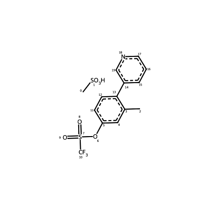 CS(=O)(=O)O.Cc1cc(OS(=O)(=O)C(F)(F)F)ccc1-c1cccnc1